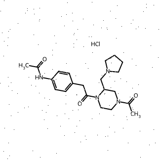 CC(=O)Nc1ccc(CC(=O)N2CCN(C(C)=O)CC2CN2CCCC2)cc1.Cl